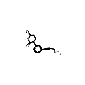 NCC#Cc1cccc(C2CCC(=O)NC2=O)c1